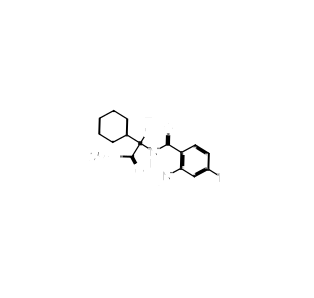 COC(=O)C(C)(NC(=O)c1ccc(F)cc1N)C1CCCCC1